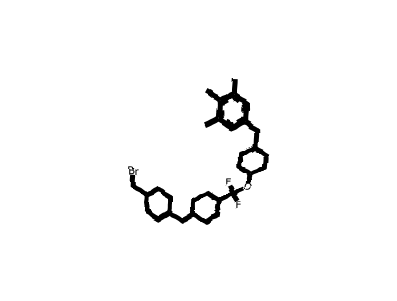 Cc1cc(CC2CCC(OC(F)(F)C3CCC(CC4CCC(CBr)CC4)CC3)CC2)cc(C)c1C